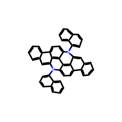 c1ccc2c(-n3c4ccc5c6ccccc6cc6c5c4-c4c5c(ccc4n6-c4cccc6ccccc46)c4ccccc4cc53)cccc2c1